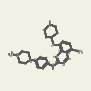 Bc1ccc(OC2CCNCC2)c2nc(Nc3ccc(N4CCN(C)CC4)cc3)ncc12